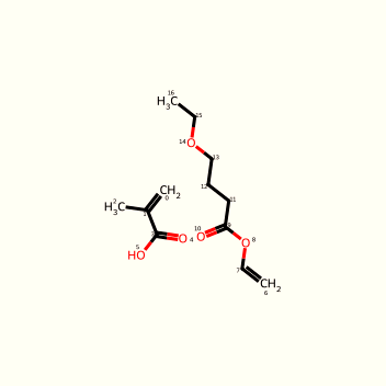 C=C(C)C(=O)O.C=COC(=O)CCCOCC